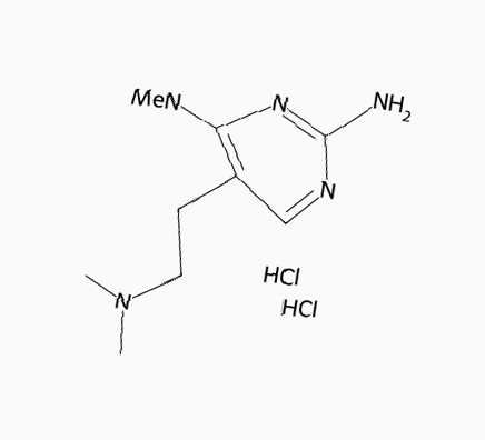 CNc1nc(N)ncc1CCN(C)C.Cl.Cl